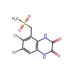 CS(=O)(=O)Cc1c(Cl)c(Cl)cc2[nH]c(=O)c(=O)[nH]c12